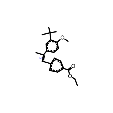 CCOC(=O)c1ccc(/C=C(/C)c2ccc(OC)c(C(C)(C)C)c2)cc1